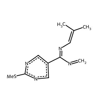 C=N/C(=N\C=C(C)C)c1cnc(SC)nc1